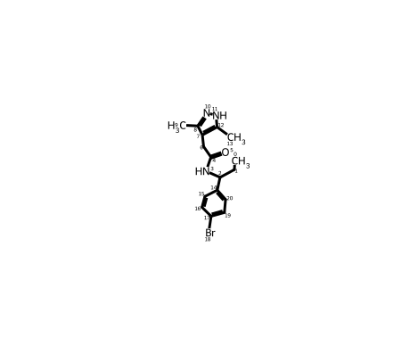 CCC(NC(=O)Cc1c(C)n[nH]c1C)c1ccc(Br)cc1